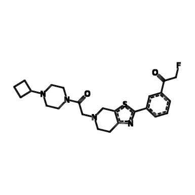 O=C(CF)c1cccc(-c2nc3c(s2)CN(CC(=O)N2CCN(C4CCC4)CC2)CC3)c1